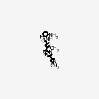 Cc1sc(C(=O)N[C@@H]2[C@H](N)CCCC2(F)F)cc1-c1cnn2cc(-c3cnn(C)c3)cnc12